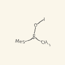 CSB(C)OI